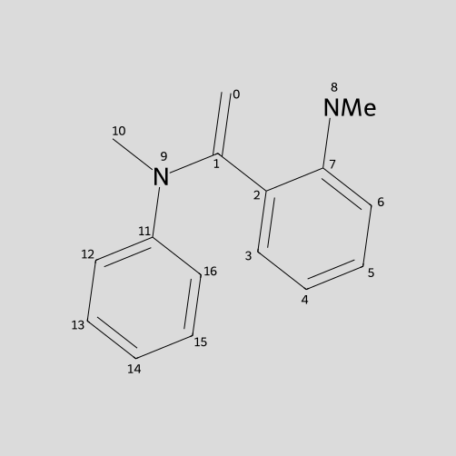 C=C(c1ccccc1NC)N(C)c1ccccc1